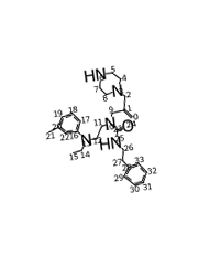 C=C(CN1CCNCC1)CN(CCN(CC)c1cccc(C)c1)C(=O)NCCc1ccccc1